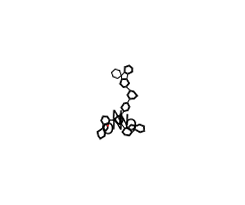 c1cc(-c2ccc(-c3nc(-c4cccc5c4oc4ccccc45)nc(-c4cccc5c4oc4ccccc45)n3)cc2)cc(-c2ccc3c(c2)-c2ccccc2C32CCCCC2)c1